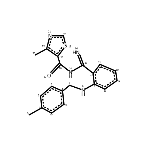 Cc1ccc(CNc2ccccc2C(=N)NC(=O)c2scnc2C)cc1